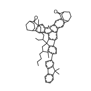 CCCCCC(CC)C1(CC(CC)CCCC)c2cc(-c3ccc4c(c3)C(C)(C)c3ccccc3-4)ccc2-c2cc3c4cc5c(cc4n4c6cc7c(cc6c(c21)c34)C1CCC(CC1)C7=O)C(=O)C1CCC5CC1